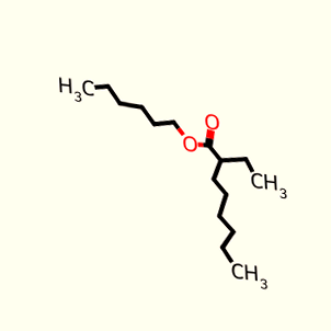 CCCCCCOC(=O)C(CC)CCCCCC